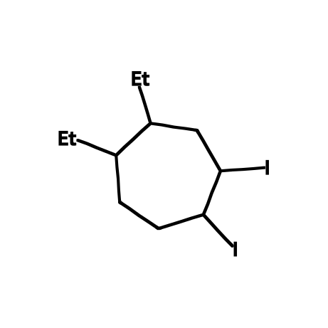 CCC1CCC(I)C(I)CC1CC